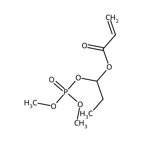 C=CC(=O)OC(CC)OP(=O)(OC)OC